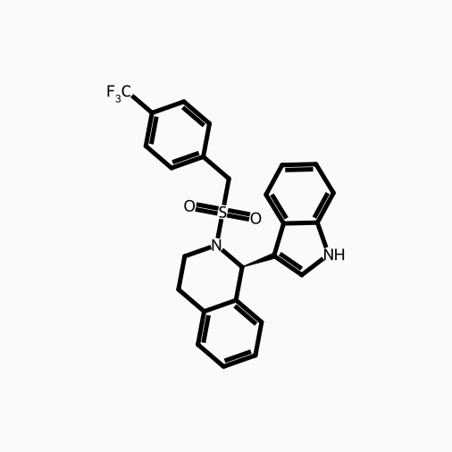 O=S(=O)(Cc1ccc(C(F)(F)F)cc1)N1CCc2ccccc2[C@@H]1c1c[nH]c2ccccc12